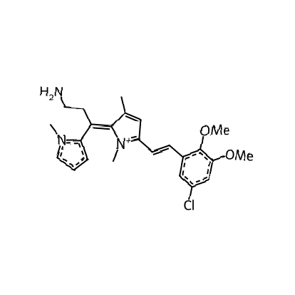 COc1cc(Cl)cc(/C=C/C2=[N+](C)C(=C(/CCN)c3cccn3C)/C(C)=C2)c1OC